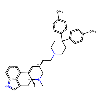 COc1ccc(C2(c3ccc(OC)cc3)CCN(CC[C@@H]3C=C4c5cccc6[nH]cc(c56)C[C@H]4N(C)C3)CC2)cc1